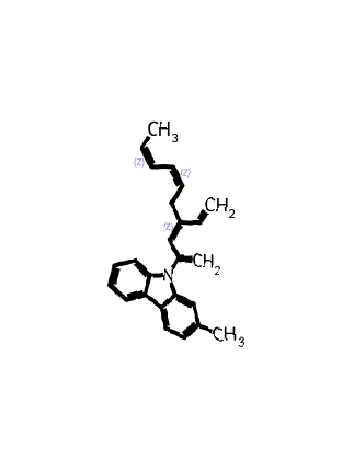 C=C/C(=C\C(=C)n1c2ccccc2c2ccc(C)cc21)C/C=C\C=C/C